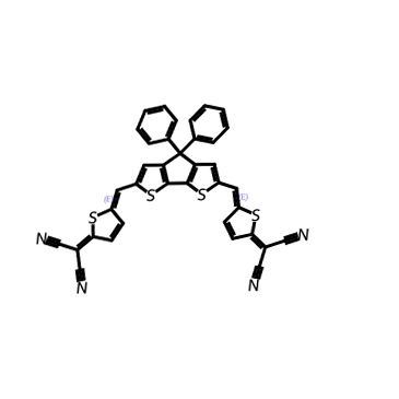 N#CC(C#N)=c1cc/c(=C\c2cc3c(s2)-c2sc(/C=c4\ccc(=C(C#N)C#N)s4)cc2C3(c2ccccc2)c2ccccc2)s1